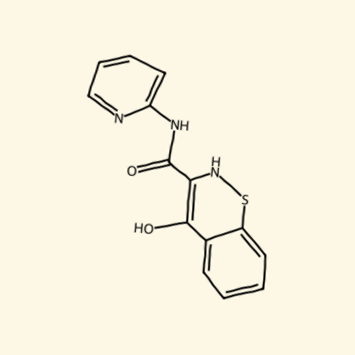 O=C(Nc1ccccn1)C1=C(O)c2ccccc2SN1